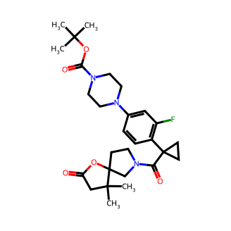 CC(C)(C)OC(=O)N1CCN(c2ccc(C3(C(=O)N4CCC5(C4)OC(=O)CC5(C)C)CC3)c(F)c2)CC1